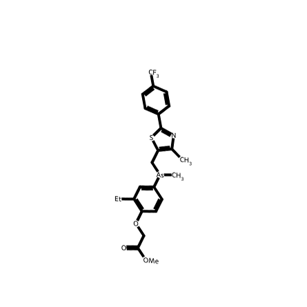 CCc1cc([As](C)Cc2sc(-c3ccc(C(F)(F)F)cc3)nc2C)ccc1OCC(=O)OC